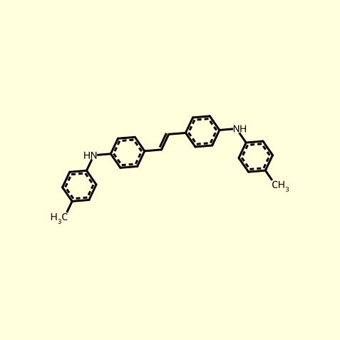 Cc1ccc(Nc2ccc(/C=C/c3ccc(Nc4ccc(C)cc4)cc3)cc2)cc1